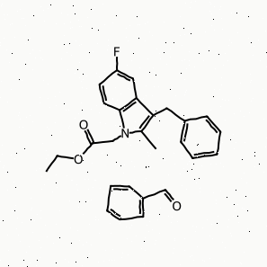 CCOC(=O)Cn1c(C)c(Cc2ccccc2)c2cc(F)ccc21.O=Cc1ccccc1